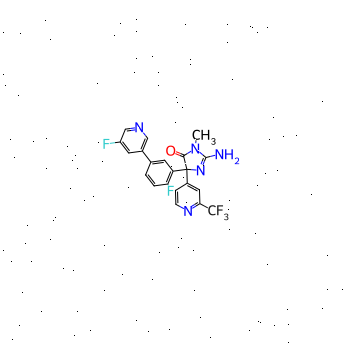 CN1C(=O)C(c2ccnc(C(F)(F)F)c2)(c2cc(-c3cncc(F)c3)ccc2F)N=C1N